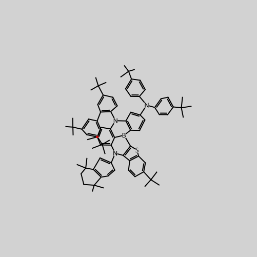 Cc1cc2c3c(c1)N(c1ccc4c(c1)C(C)(C)CCC4(C)C)c1c(sc4cc(C(C)(C)C)ccc14)B3c1ccc(N(c3ccc(C(C)(C)C)cc3)c3ccc(C(C)(C)C)cc3)cc1N2c1ccc(C(C)(C)C)cc1-c1cc(C(C)(C)C)cc(C(C)(C)C)c1